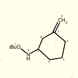 C=C1CCCC(NOCC(C)C)C1